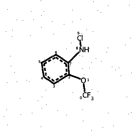 FC(F)(F)Oc1ccccc1NCl